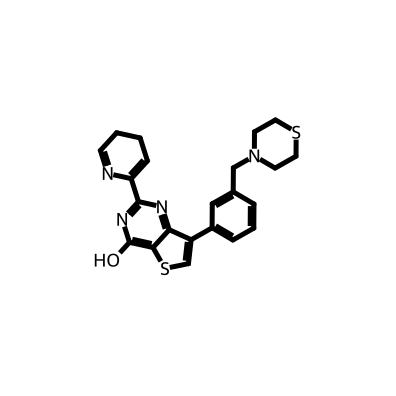 Oc1nc(C2=CCCC=N2)nc2c(-c3cccc(CN4CCSCC4)c3)csc12